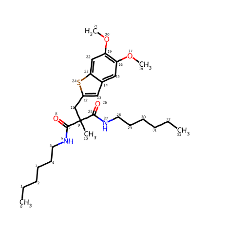 CCCCCCNC(=O)C(C)(Cc1cc2cc(OC)c(OC)cc2s1)C(=O)NCCCCCC